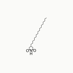 CCCCCCCCCCCCCCCCCCC1CC(=O)NC(=O)C1